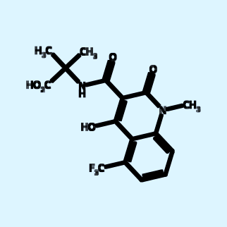 Cn1c(=O)c(C(=O)NC(C)(C)C(=O)O)c(O)c2c(C(F)(F)F)cccc21